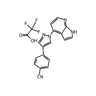 N#Cc1ccc(-c2cnn(-c3ccnc4[nH]ccc34)c2)cc1.O=C(O)C(F)(F)F